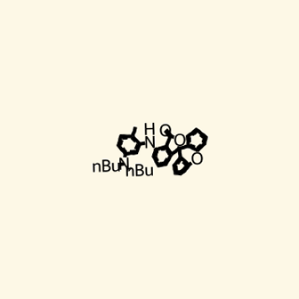 CCCCN(CCCC)c1ccc(C)c(Nc2cccc3c2C(=O)OC32c3ccccc3Oc3ccccc32)c1